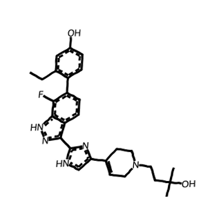 CCc1cc(O)ccc1-c1ccc2c(-c3nc(C4=CCN(CCC(C)(C)O)CC4)c[nH]3)n[nH]c2c1F